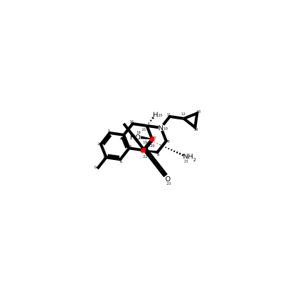 Cc1ccc2c(c1)[C@]13CCN(CC4CC4)[C@H](C2)[C@]1(O)C[C@H](N)C(=O)C3